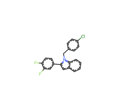 Fc1ccc(-c2cc3ccccc3n2Cc2ccc(Cl)cc2)cc1F